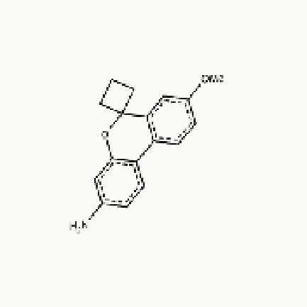 COc1ccc2c(c1)C1(CCC1)Oc1cc(N)ccc1-2